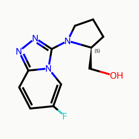 OC[C@@H]1CCCN1c1nnc2ccc(F)cn12